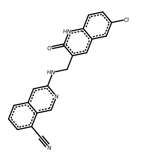 N#Cc1cccc2cc(NCc3cc4cc(Cl)ccc4[nH]c3=O)ncc12